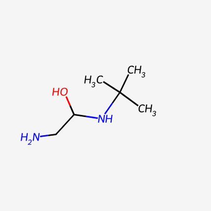 CC(C)(C)NC(O)CN